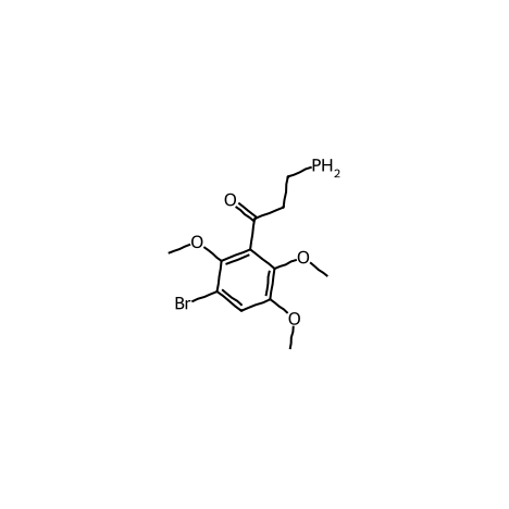 COc1cc(Br)c(OC)c(C(=O)CCP)c1OC